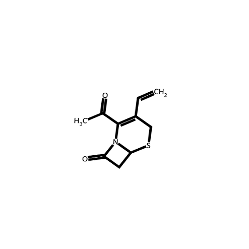 C=CC1=C(C(C)=O)N2C(=O)CC2SC1